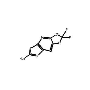 Nc1nc2cc3c(nc2s1)OC(F)(F)O3